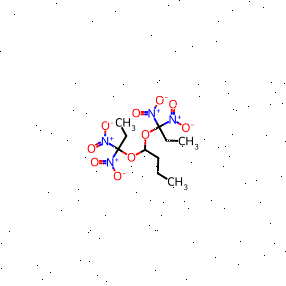 CCCC(OC(CC)([N+](=O)[O-])[N+](=O)[O-])OC(CC)([N+](=O)[O-])[N+](=O)[O-]